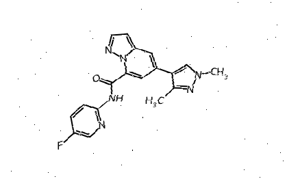 Cc1nn(C)cc1-c1cc(C(=O)Nc2ccc(F)cn2)n2nccc2c1